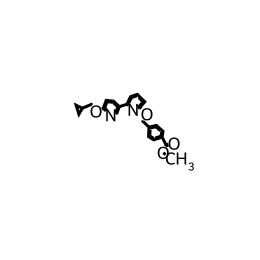 COC(=O)c1ccc(COc2cccc(-c3ccc(OCC4CC4)nc3)n2)cc1